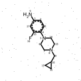 Nc1ccc(N2CCN(CC3CC3)CC2)c(F)c1